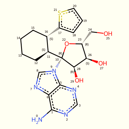 Nc1ncnc2c1ncn2[C@]1([C@H]2CCCC[C@@H]2c2cccs2)O[C@H](CO)[C@@H](O)[C@H]1O